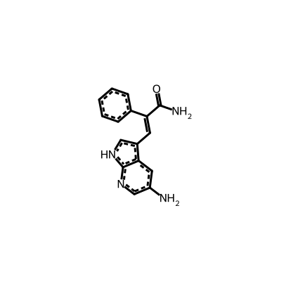 NC(=O)/C(=C/c1c[nH]c2ncc(N)cc12)c1ccccc1